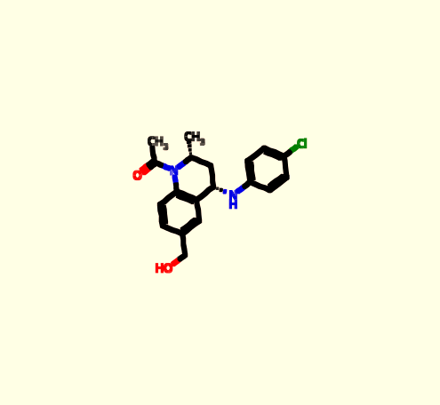 CC(=O)N1c2ccc(CO)cc2[C@@H](Nc2ccc(Cl)cc2)C[C@H]1C